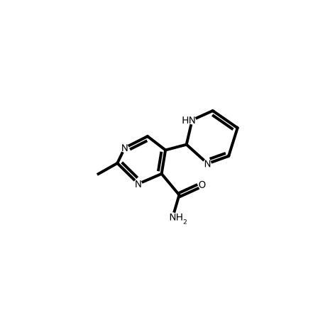 Cc1ncc(C2N=CC=CN2)c(C(N)=O)n1